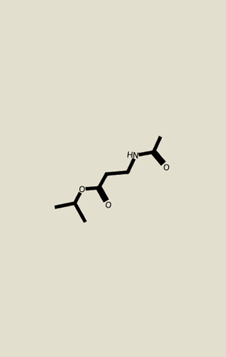 CC(=O)NCCC(=O)OC(C)C